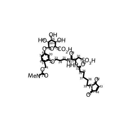 CNC(=O)OCc1ccc(O[C@@H]2O[C@H](C(=O)O)[C@@H](O)[C@H](O)[C@H]2O)cc1OCCCNC(=O)C(CS(=O)(=O)O)NC(=O)CCCCCN1C(=O)C=CC1=O